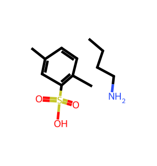 CCCCN.Cc1ccc(C)c(S(=O)(=O)O)c1